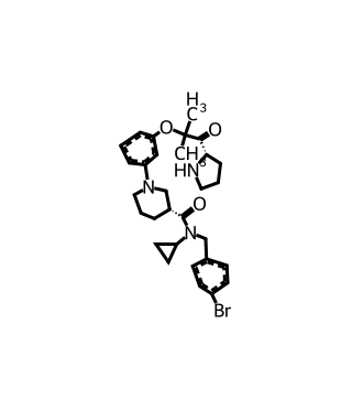 CC(C)(Oc1cccc(N2CCC[C@@H](C(=O)N(Cc3ccc(Br)cc3)C3CC3)C2)c1)C(=O)[C@@H]1CCCN1